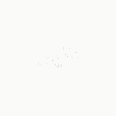 CC(=O)c1ccc(N2CCCN(c3ccccc3C)CC2)c(N)c1